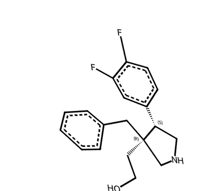 OCC[C@@]1(Cc2ccccc2)CNC[C@H]1c1ccc(F)c(F)c1